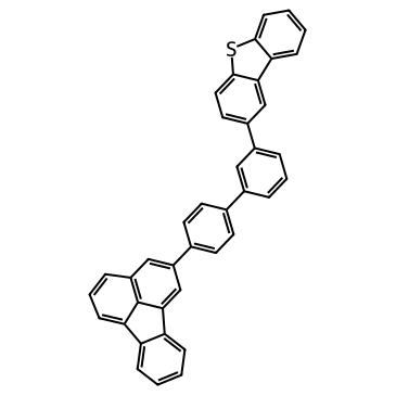 c1cc(-c2ccc(-c3cc4c5c(cccc5c3)-c3ccccc3-4)cc2)cc(-c2ccc3sc4ccccc4c3c2)c1